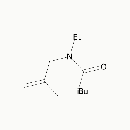 C=C(C)CN(CC)C(=O)C(C)CC